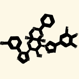 O[C@@H]1[C@@H](n2cc(-c3cc(F)c(F)c(F)c3)nn2)[C@H]2OC(c3ccccc3)OC[C@H]2O[C@H]1c1ncnn1-c1cccc(Cl)c1